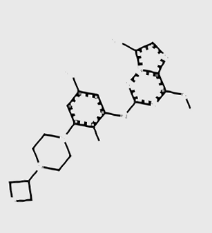 CCNc1nc(Nc2cc(C#N)cc(N3CCN(C4COC4)CC3)c2F)nn2c(C#N)cnc12